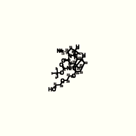 CC(C)(C)OC(=O)N[C@H](C(=O)N1[C@H](C#N)C[C@@H]2C[C@@H]21)C12CC3C[C@H](CC(OCCOCCO)(C3)C1)C2